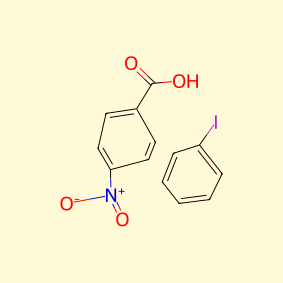 Ic1ccccc1.O=C(O)c1ccc([N+](=O)[O-])cc1